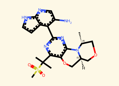 C[C@@H]1COC[C@H]2COc3c(nc(-c4c(N)cnc5[nH]ccc45)nc3C(C)(C)S(C)(=O)=O)N21